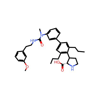 CCCc1cc(-c2cccc(N(C)C(=O)NCCc3cccc(OC)c3)c2)cc(CCC)c1C1CCN[C@@H]1C(=O)O